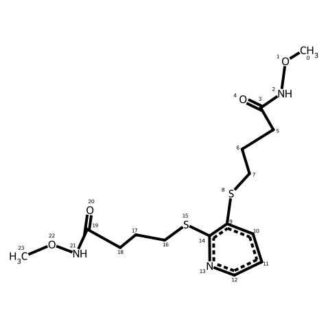 CONC(=O)CCCSc1cccnc1SCCCC(=O)NOC